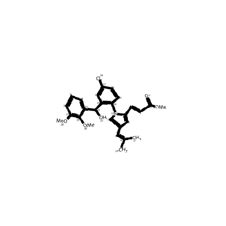 COC(=O)/C=C/c1cc(C=C(C)C)cn1-c1ccc(Cl)cc1C(O)c1cccc(OC)c1OC